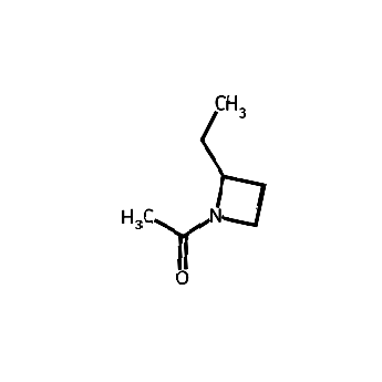 CCC1CCN1C(C)=O